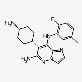 Cc1ccc(F)c(Nc2c3nccn3nc(N)c2[C@H]2CC[C@H](N)CC2)c1